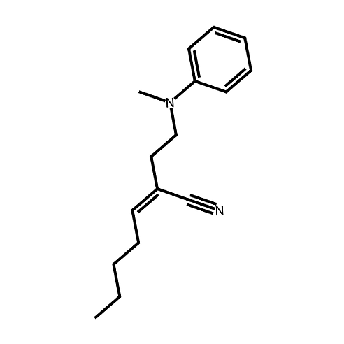 CCCCC=C(C#N)CCN(C)c1ccccc1